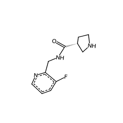 O=C(NCc1ncccc1F)[C@@H]1CCNC1